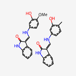 COc1ccc(NC=C2C(=O)Nc3ccccc32)cc1O.Cc1ccc(NC=C2C(=O)Nc3ccccc32)cc1O